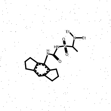 CCN(CC)C(C)S(=O)(=O)NC(=O)Nc1c2c(cc3c1CCC3)CCC2